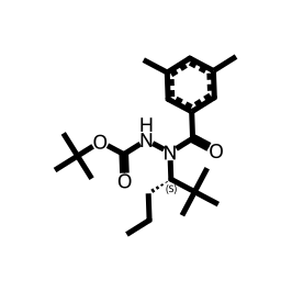 CCC[C@H](N(NC(=O)OC(C)(C)C)C(=O)c1cc(C)cc(C)c1)C(C)(C)C